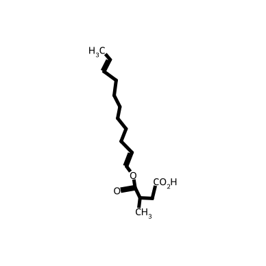 CC=CCCCCCCC=COC(=O)C(C)CC(=O)O